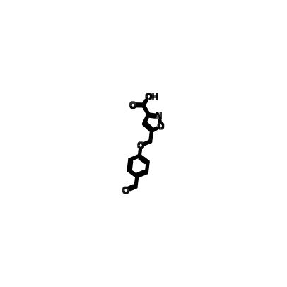 O=Cc1ccc(OCc2cc(C(=O)O)no2)cc1